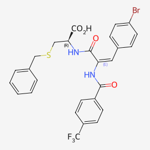 O=C(N[C@@H](CSCc1ccccc1)C(=O)O)/C(=C\c1ccc(Br)cc1)NC(=O)c1ccc(C(F)(F)F)cc1